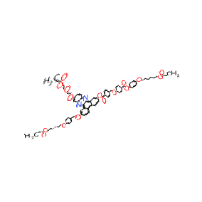 C=CC(=O)OCCCCCCOc1ccc(COc2ccc3c4ccc(OC(=O)c5ccc(COC6CCC(C(=O)Oc7ccc(OCCCCCCOC(=O)C=C)cc7)CC6)cc5)cc4c4nc5ccc(OCCOCCOC(=O)C=C)cc5nc4c3c2)cc1